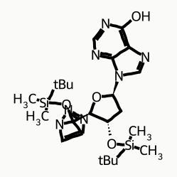 CC(C)(C)[Si](C)(C)O[C@H]1C[C@H](n2cnc3c(O)ncnc32)O[C@@H]1C1(O[Si](C)(C)C(C)(C)C)c2cn1nn2